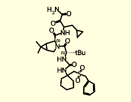 CC1(C)C2CN(C(=O)[C@@H](NC(=O)NC3(CS(=O)(=O)Cc4ccccc4)CCCCC3)C(C)(C)C)[C@H](C(=O)NC(CC3CC3)C(=O)C(N)=O)C21